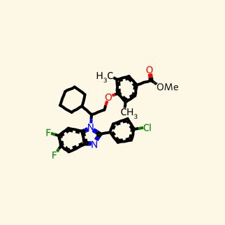 COC(=O)c1cc(C)c(OCC(C2CCCCC2)n2c(-c3ccc(Cl)cc3)nc3cc(F)c(F)cc32)c(C)c1